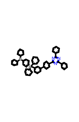 c1ccc(B(c2ccccc2)c2ccc([Si](c3ccccc3)(c3ccccc3)c3cccc(-c4ccc(-c5nc(-c6ccccc6)nc(-c6ccccc6)n5)cc4)c3)cc2)cc1